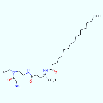 CC(=O)CN(CCNC(=O)CC[C@H](NC(=O)CCCCCCCCCCCCCCC(=O)O)C(=O)O)C(=O)CN